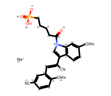 COc1ccc2c(/C(C#N)=C/c3cc(C#N)ccc3OC)cn(C(=O)CCCCP(=O)([O-])O)c2c1.[Na+]